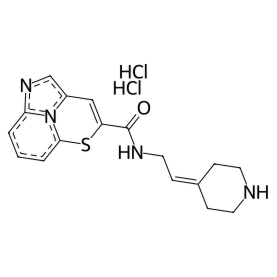 Cl.Cl.O=C(NCC=C1CCNCC1)C1=Cc2cnc3cccc(n23)S1